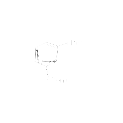 CCCCCc1cc2cc(CCCCC)c1o2